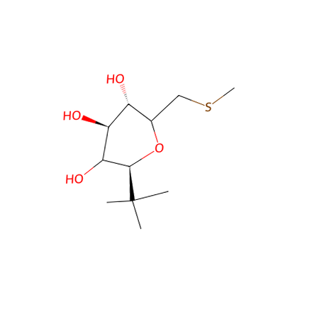 CSCC1O[C@@H](C(C)(C)C)C(O)[C@@H](O)[C@@H]1O